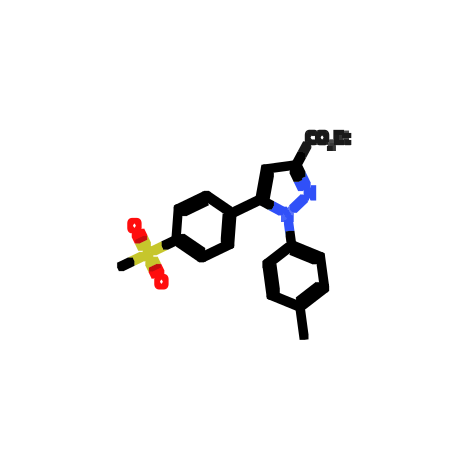 CCOC(=O)c1cc(-c2ccc(S(C)(=O)=O)cc2)n(-c2ccc(C)cc2)n1